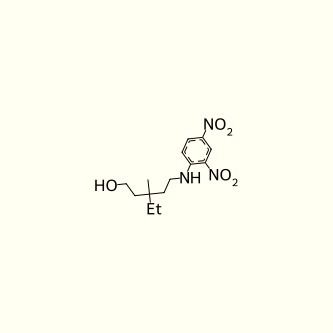 CCC(C)(CCO)CCNc1ccc([N+](=O)[O-])cc1[N+](=O)[O-]